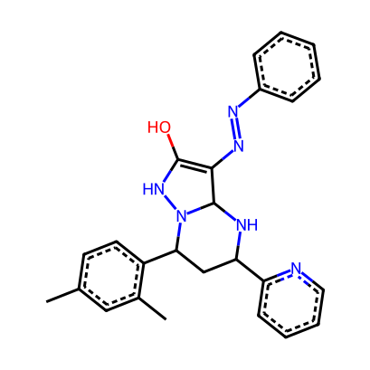 Cc1ccc(C2CC(c3ccccn3)NC3C(N=Nc4ccccc4)=C(O)NN32)c(C)c1